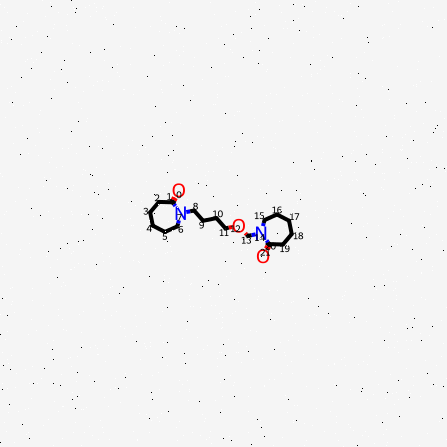 O=C1CCCCCN1CCCCOCN1CCCCCC1=O